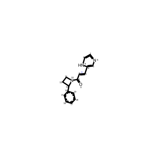 O=C(/C=C/C1=CN=C=CN1)N1CCC1c1ccccc1